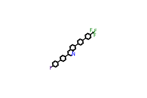 FC(F)(F)c1ccc(-c2ccc(-c3ccc4cc(-c5ccc(-c6ccc(I)cc6)cc5)cnc4c3)cc2)cc1